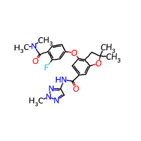 CN(C)C(=O)c1ccc(Oc2cc(C(=O)Nc3cnn(C)n3)cc3c2CC(C)(C)O3)cc1F